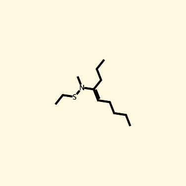 CCCC/C=C(\CCC)N(C)SCC